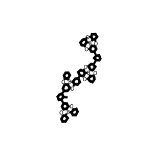 Cc1c(-c2cc3c4c(c2)Oc2ccccc2B4c2ccccc2O3)cccc1-c1cc2c3c(c1)Oc1ccc(-c4ccc5c6c4Oc4cccc7c4B6c4c(cc(-c6cccc(-c8cc9c%10c(c8)Oc8cccc%11c8B%10c8c(cccc8O9)O%11)c6)cc4O5)O7)cc1B3c1ccccc1O2